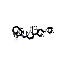 C[C@]12CCC[C@](C)(N1)[C@@H](F)/C(=C/c1ccc(-c3cnc(-n4ccnc4)cc3O)nn1)C2